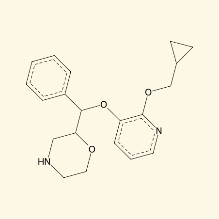 c1ccc(C(Oc2cccnc2OCC2CC2)C2CNCCO2)cc1